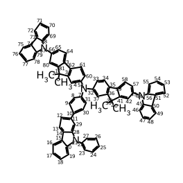 CC1(C)c2cc(N(c3ccc(-c4ccc5c6ccccc6n(-c6ccccc6)c5c4)cc3)c3ccc4c(c3)C(C)(C)c3cc(-n5c6ccccc6c6ccccc65)ccc3-4)ccc2-c2ccc(-n3c4ccccc4c4ccccc43)cc21